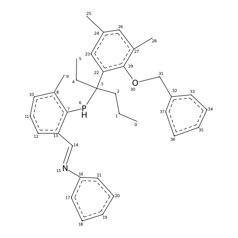 CCCC(CC)(Pc1c(C)cccc1/C=N/c1ccccc1)c1cc(C)cc(C)c1OCc1ccccc1